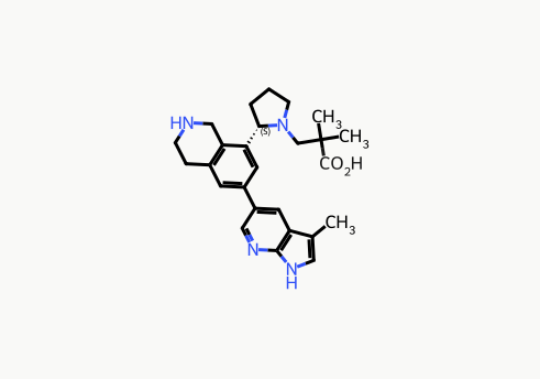 Cc1c[nH]c2ncc(-c3cc4c(c([C@@H]5CCCN5CC(C)(C)C(=O)O)c3)CNCC4)cc12